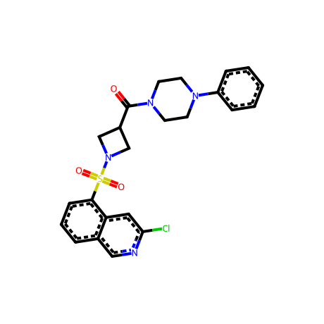 O=C(C1CN(S(=O)(=O)c2cccc3cnc(Cl)cc23)C1)N1CCN(c2ccccc2)CC1